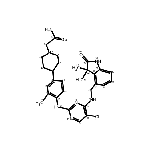 Cc1cc(C2CCN(CC(N)=O)CC2)ccc1Nc1ncc(Cl)c(NCc2cccc3c2C(C)(C)C(=O)N3)n1